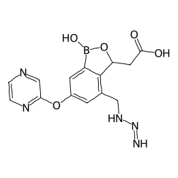 N=NNCc1cc(Oc2cnccn2)cc2c1C(CC(=O)O)OB2O